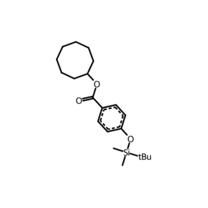 CC(C)(C)[Si](C)(C)Oc1ccc(C(=O)OC2CCCCCCC2)cc1